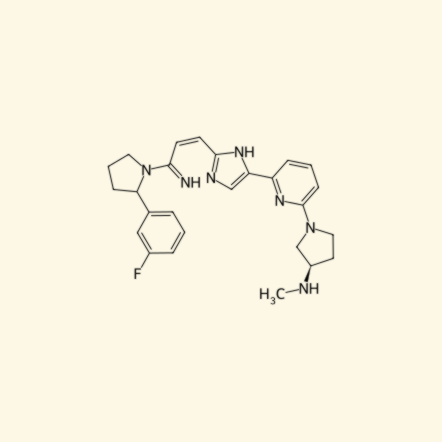 CN[C@@H]1CCN(c2cccc(-c3cnc(/C=C\C(=N)N4CCCC4c4cccc(F)c4)[nH]3)n2)C1